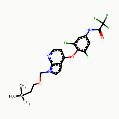 C[Si](C)(C)CCOCn1ccc2c(Oc3c(F)cc(NC(=O)C(F)(F)F)cc3F)ccnc21